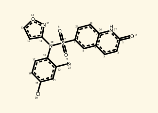 O=c1ccc2cc(S(=O)(=O)N(c3ccon3)c3ccc(Cl)cc3Br)ccc2[nH]1